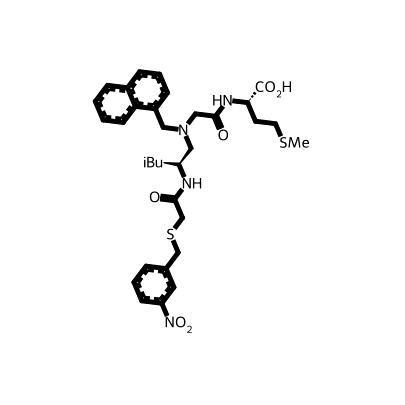 CC[C@H](C)[C@@H](CN(CC(=O)N[C@@H](CCSC)C(=O)O)Cc1cccc2ccccc12)NC(=O)CSCc1cccc([N+](=O)[O-])c1